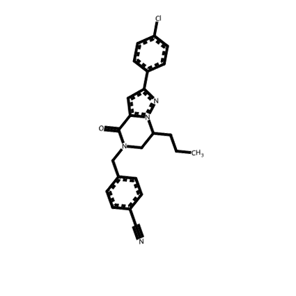 CCCC1CN(Cc2ccc(C#N)cc2)C(=O)c2cc(-c3ccc(Cl)cc3)nn21